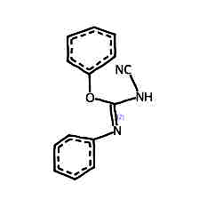 N#CN/C(=N/c1ccccc1)Oc1ccccc1